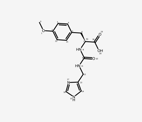 COc1ccc(C[C@H](NC(=O)NCc2c[nH]cn2)C(=O)O)cc1